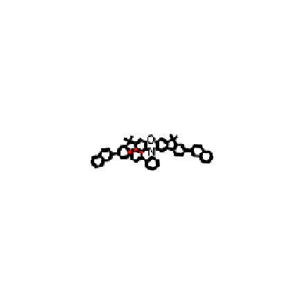 CC1(C)c2cc(-c3ccc4ccccc4c3)ccc2-c2cc3c(cc21)Oc1cc2c(cc1N3c1c#cccc1-c1ccccc1)-c1ccc(-c3ccc4ccccc4c3)cc1C2(C)C